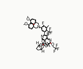 COc1ccc(CN(Cc2ccc(OC)cc2)c2cc(-c3ncc4c(N5C[C@H]6CC[C@@H](C5)N6C(=O)OC(C)(C)C)nc(OCC(F)(F)F)nc4c3F)c(C(F)(F)F)c(C)c2F)cc1